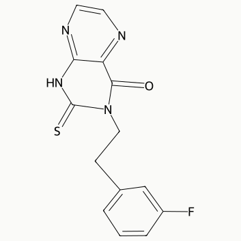 O=c1c2nccnc2[nH]c(=S)n1CCc1cccc(F)c1